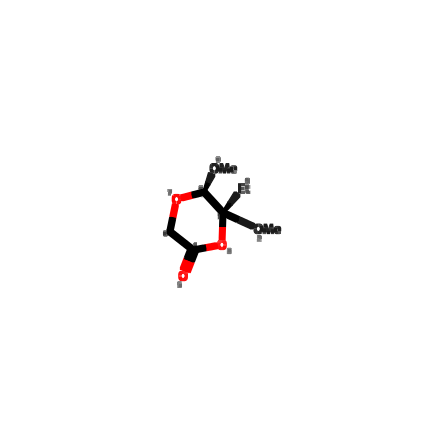 CC[C@@]1(OC)OC(=O)CO[C@H]1OC